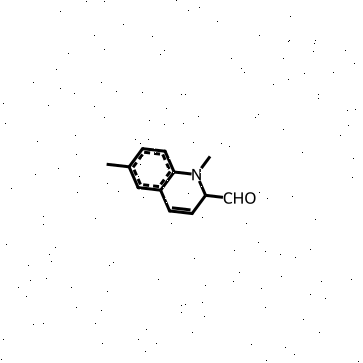 Cc1ccc2c(c1)C=CC(C=O)N2C